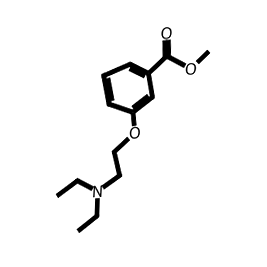 CCN(CC)CCOc1cccc(C(=O)OC)c1